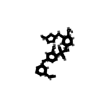 COc1cccc(Sc2ccc(S(=O)(=O)Nc3ccc(C(F)(F)F)c(OC4CCN(C)C4)c3)c(Cl)c2)c1